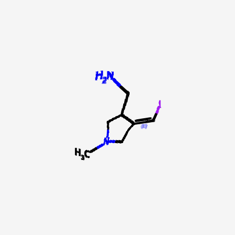 CN1C/C(=C/I)C(CN)C1